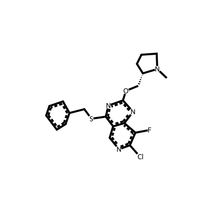 CN1CCC[C@H]1COc1nc(SCc2ccccc2)c2cnc(Cl)c(F)c2n1